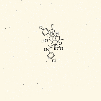 CCC(=O)O[C@]1(C(=O)SC(C)(C)C(=O)c2ccc(Cl)cc2)[C@H](C)C[C@H]2[C@@H]3C[C@H](F)C4=CC(=O)C=C[C@]4(C)[C@@]3(F)[C@@H](O)C[C@@]21C